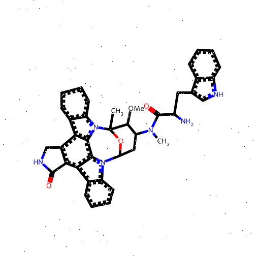 COC1C(N(C)C(=O)C(N)Cc2c[nH]c3ccccc23)CC2OC1(C)n1c3ccccc3c3c4c(c5c6ccccc6n2c5c31)C(=O)NC4